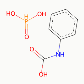 O=C(O)Nc1ccccc1.O=[PH](O)O